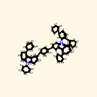 c1ccc(-c2ccc(-c3ccccc3)c(-n3c4ccc(-c5ccc(-c6ccc7c(c6)c6c(-c8ccccc8)cccc6n7-c6ccccc6)cc5)cc4c4c(-c5ccccc5)cccc43)c2)cc1